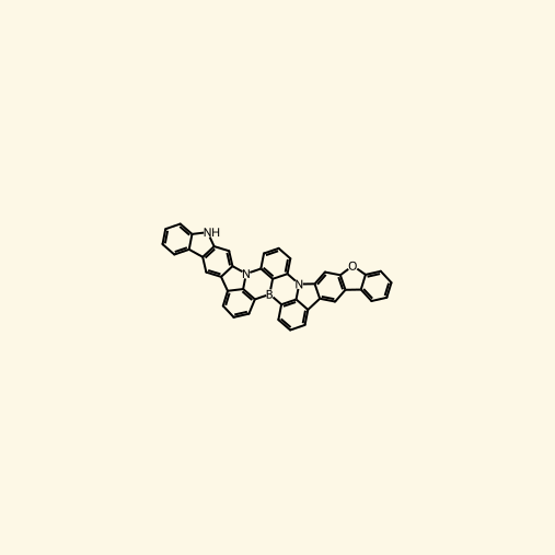 c1cc2c3c(c1)-n1c4cc5oc6ccccc6c5cc4c4cccc(c41)B3c1cccc3c4cc5c(cc4n-2c13)[nH]c1ccccc15